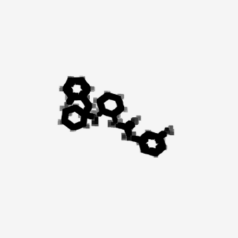 CC(=O)c1cccc(NC(=O)N[C@@H]2CCCC[C@H]2NC2(Cc3ccccc3F)CCCCC2)c1